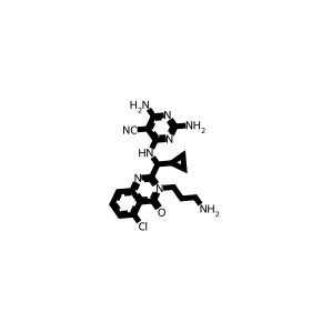 N#Cc1c(N)nc(N)nc1NC(c1nc2cccc(Cl)c2c(=O)n1CCCN)C1CC1